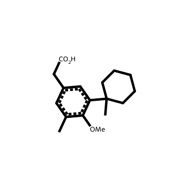 COc1c(C)cc(CC(=O)O)cc1C1(C)CCCCC1